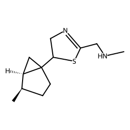 CNCC1=NCC(C23CC[C@@H](C)[C@H]2C3)S1